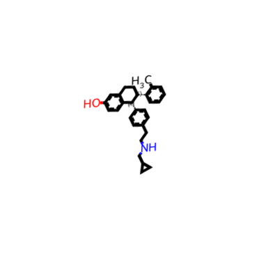 Cc1ccccc1[C@H]1CCc2cc(O)ccc2[C@H]1c1ccc(CCNCC2CC2)cc1